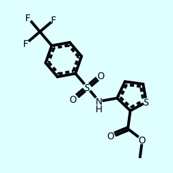 COC(=O)c1sccc1NS(=O)(=O)c1ccc(C(F)(F)F)cc1